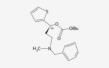 CC(C)COC(=O)O[C@@H](CCN(C)Cc1ccccc1)c1cccs1